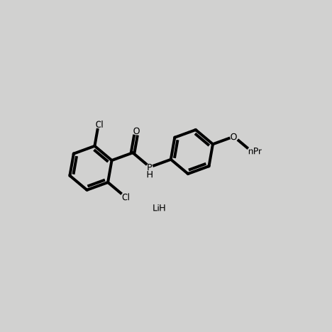 CCCOc1ccc(PC(=O)c2c(Cl)cccc2Cl)cc1.[LiH]